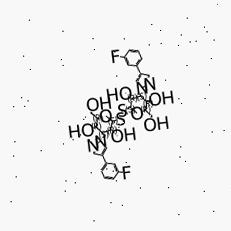 OC[C@H]1O[C@@H](SS[C@@H]2O[C@H](CO)[C@H](O)[C@H](n3cc(-c4cccc(F)c4)cn3)[C@H]2O)[C@H](O)[C@@H](n2cc(-c3cccc(F)c3)cn2)[C@H]1O